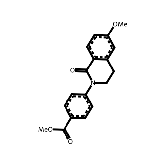 COC(=O)c1ccc(N2CCc3cc(OC)ccc3C2=O)cc1